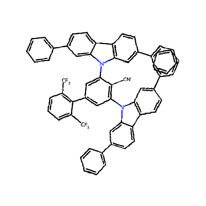 N#Cc1c(-n2c3cc(-c4ccccc4)ccc3c3ccc(-c4ccccc4)cc32)cc(-c2c(C(F)(F)F)cccc2C(F)(F)F)cc1-n1c2cc(-c3ccccc3)ccc2c2ccc(-c3ccccc3)cc21